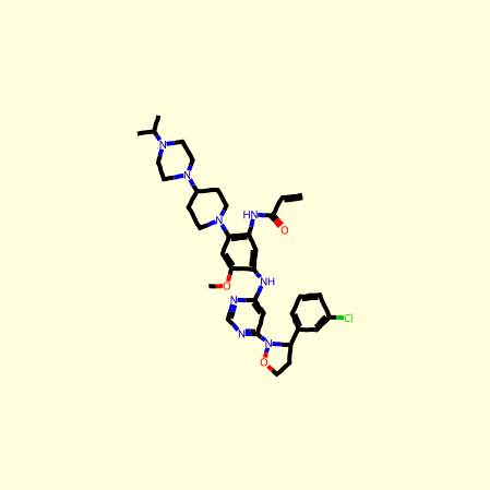 C=CC(=O)Nc1cc(Nc2cc(N3OCCC3c3cccc(Cl)c3)ncn2)c(OC)cc1N1CCC(N2CCN(C(C)C)CC2)CC1